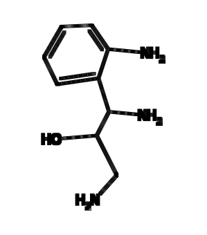 NCC(O)C(N)c1ccccc1N